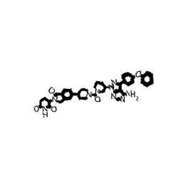 Nc1ncnc2c1c(-c1ccc(Oc3ccccc3)cc1)nn2[C@@H]1CCCN(C(=O)N2CCC(c3ccc4c(c3)CN(C3CCC(=O)NC3=O)C4=O)CC2)C1